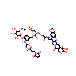 CC[C@@]1(O)C(=O)OCc2c1cc1n(c2=O)Cc2c-1nc1cc3c(cc1c2CNC(=O)COCN(CCS(C)(=O)=O)C(=O)OCc1ccc(O[C@@H]2O[C@H](C(=O)O)[C@@H](O)[C@H](O)[C@H]2O)c(NC(=O)CN(C)C(=O)CCN2C(=O)C=CC2=O)c1)OCO3